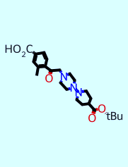 Cc1cc(C(=O)O)ccc1C(=O)CN1CCN(N2CCC(C(=O)OC(C)(C)C)CC2)CC1